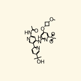 COC1CC(Oc2cc(Nc3cc(NC(C)=O)ncc3-c3ccc(C(C)(C)O)cn3)nc(S(C)(=O)=O)c2)C1